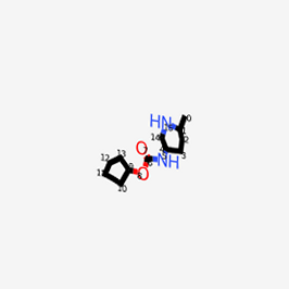 CC1CCC(NC(=O)OC2CCCC2)CN1